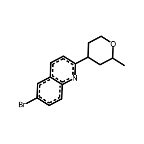 CC1CC(c2ccc3cc(Br)ccc3n2)CCO1